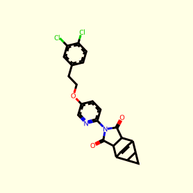 O=C1C2C3C=CC(C4CC34)C2C(=O)N1c1ccc(OCCc2ccc(Cl)c(Cl)c2)cn1